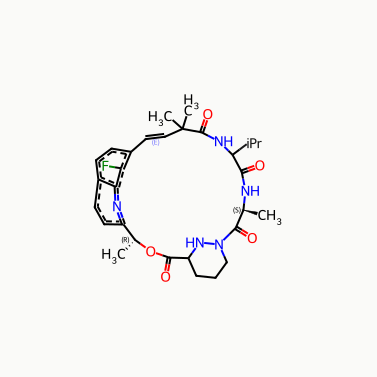 CC(C)C1NC(=O)C(C)(C)/C=C/c2ccc3ccc(nc3c2F)[C@@H](C)OC(=O)C2CCCN(N2)C(=O)[C@H](C)NC1=O